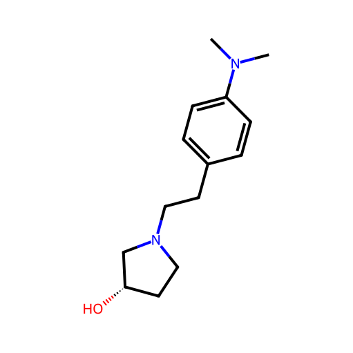 CN(C)c1ccc(CCN2CC[C@H](O)C2)cc1